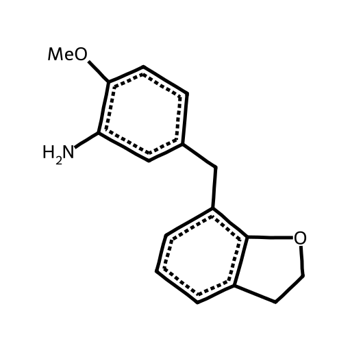 COc1ccc(Cc2cccc3c2OCC3)cc1N